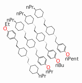 CCCCCOc1ccc(CC[C@H]2CC[C@H](CC[C@H]3CC[C@H](CCC)CC3)CC2)cc1.CCCCOc1ccc(CC[C@H]2CC[C@H](CC[C@H]3CC[C@H](CCC)CC3)CC2)cc1.CCCOc1ccc(CC[C@H]2CC[C@H](CC[C@H]3CC[C@H](CCC)CC3)CC2)cc1.CCC[C@H]1CC[C@H](CC[C@H]2CC[C@H](CCc3ccc(OCC)cc3)CC2)CC1